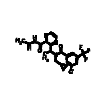 CNNC(=O)c1nccnc1C(C)N(CC1CC1)C(=O)c1cc(Cl)cc(C(F)(F)F)c1